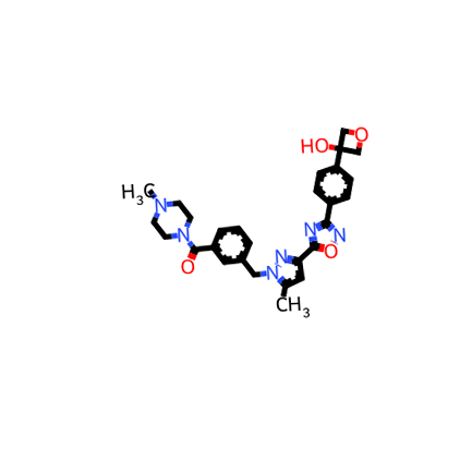 Cc1cc(-c2nc(-c3ccc(C4(O)COC4)cc3)no2)nn1Cc1cccc(C(=O)N2CCN(C)CC2)c1